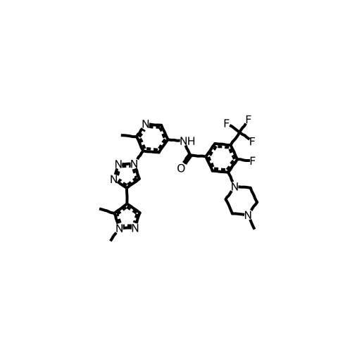 Cc1ncc(NC(=O)c2cc(N3CCN(C)CC3)c(F)c(C(F)(F)F)c2)cc1-n1cc(-c2cnn(C)c2C)nn1